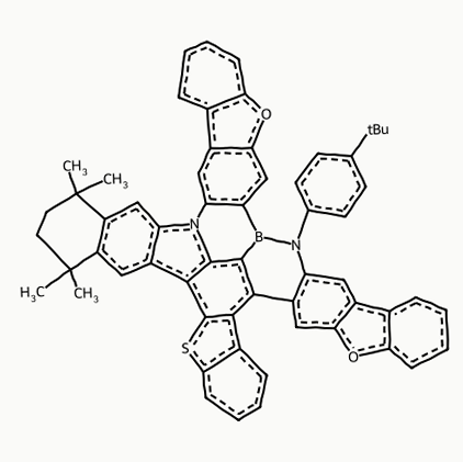 CC(C)(C)c1ccc(N2B3c4cc5oc6ccccc6c5cc4-n4c5cc6c(cc5c5c7sc8ccccc8c7c(c3c54)-c3cc4oc5ccccc5c4cc32)C(C)(C)CCC6(C)C)cc1